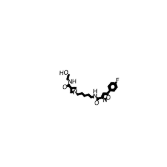 O=C(NCCCCCN1CC(C(=O)NCCO)C1)c1cc(-c2ccc(F)cc2)on1